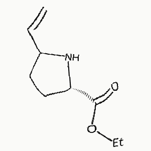 C=CC1CC[C@@H](C(=O)OCC)N1